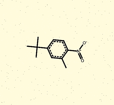 Cc1cc(C(C)(C)C)ccc1[N+](=O)[O-]